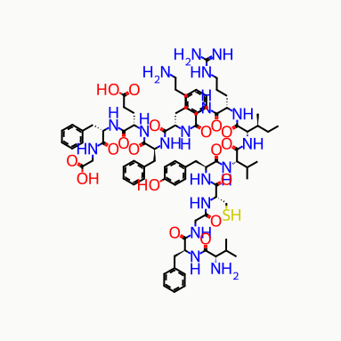 CC[C@H](C)[C@H](NC(=O)[C@@H](NC(=O)[C@H](Cc1ccc(O)cc1)NC(=O)[C@H](CS)NC(=O)CNC(=O)[C@H](Cc1ccccc1)NC(=O)[C@@H](N)C(C)C)C(C)C)C(=O)N[C@@H](CCCNC(=N)N)C(=O)N[C@@H](CCCCN)C(=O)N[C@@H](Cc1ccccc1)C(=O)N[C@@H](Cc1ccccc1)C(=O)N[C@@H](CCC(=O)O)C(=O)N[C@@H](Cc1ccccc1)C(=O)NCC(=O)O